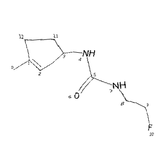 CC1=CC(NC(=O)NCCF)CC1